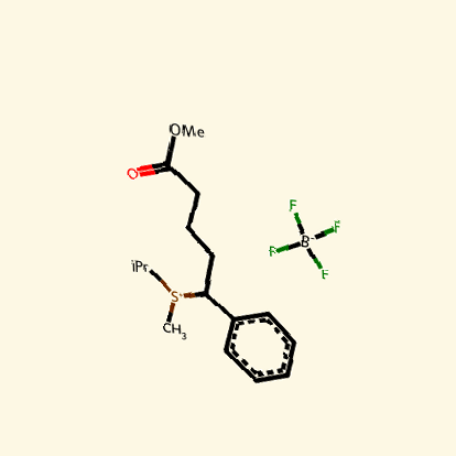 COC(=O)CCCC(c1ccccc1)[S+](C)C(C)C.F[B-](F)(F)F